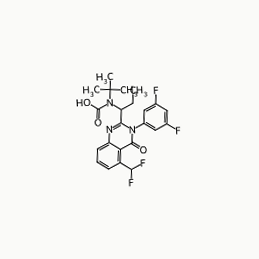 CCC(c1nc2cccc(C(F)F)c2c(=O)n1-c1cc(F)cc(F)c1)N(C(=O)O)C(C)(C)C